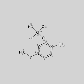 CC[n+]1ccc(C)cc1.[O-][Cl+3]([O-])([O-])O